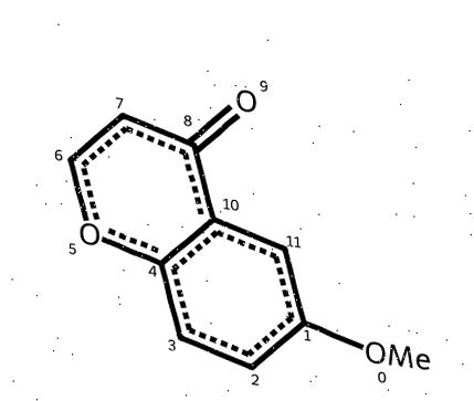 [CH]Oc1ccc2occc(=O)c2c1